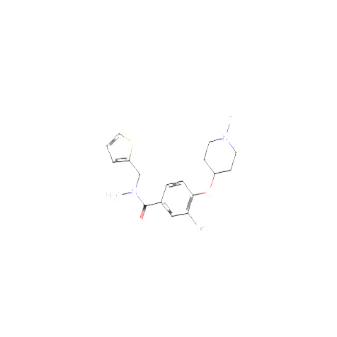 CCCc1cc(C(=O)N(C)Cc2cccs2)ccc1OC1CCN(CC)CC1